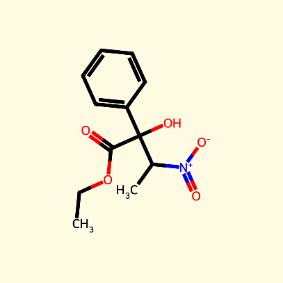 CCOC(=O)C(O)(c1ccccc1)C(C)[N+](=O)[O-]